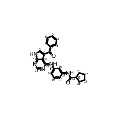 O=C(c1ccccc1)c1c[nH]c2ncnc(Nc3cccc(NC(=O)C4CCCC4)c3)c12